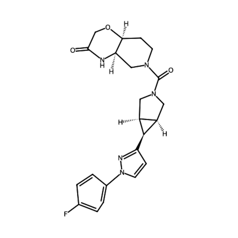 O=C1CO[C@H]2CCN(C(=O)N3C[C@@H]4[C@H](C3)[C@@H]4c3ccn(-c4ccc(F)cc4)n3)C[C@H]2N1